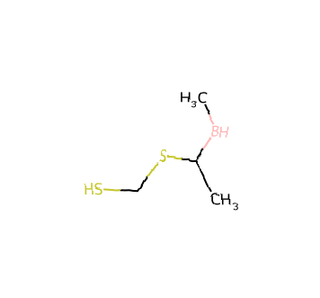 CBC(C)SCS